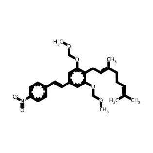 COCOc1cc(/C=C/c2ccc([N+](=O)[O-])cc2)cc(OCOC)c1C/C=C(\C)CCC=C(C)C